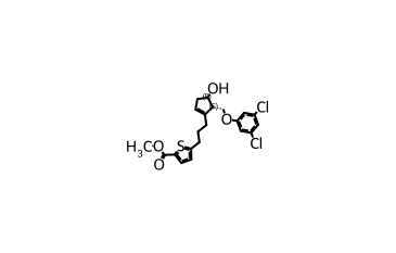 COC(=O)c1ccc(CCCC2=CC[C@@H](O)[C@@H]2COc2cc(Cl)cc(Cl)c2)s1